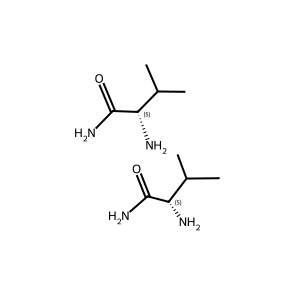 CC(C)[C@H](N)C(N)=O.CC(C)[C@H](N)C(N)=O